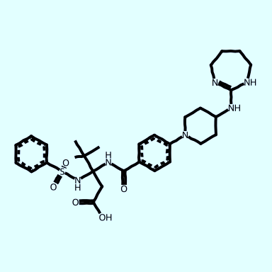 CC(C)(C)C(CC(=O)O)(NC(=O)c1ccc(N2CCC(NC3=NCCCCN3)CC2)cc1)NS(=O)(=O)c1ccccc1